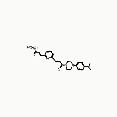 CC(C)c1ccc(N2CCN(C(=O)/C=C/c3cccc(/C=C/C(=O)NO)n3)CC2)cc1